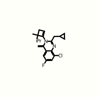 C=C1c2cc(F)cc(Cl)c2N=C(CC2CC2)N1C1=CCC1(C)C(C)C